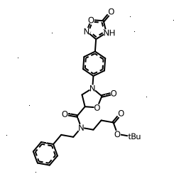 CC(C)(C)OC(=O)CCN(CCc1ccccc1)C(=O)C1CN(c2ccc(-c3noc(=O)[nH]3)cc2)C(=O)O1